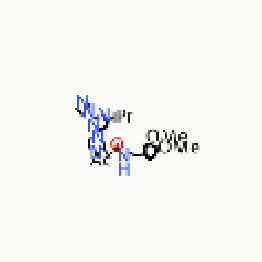 COc1ccc(CCNC(=O)CC2CN(c3cc(C(C)C)nc(-n4ccnc4)n3)CCN2C(C)=O)cc1OC